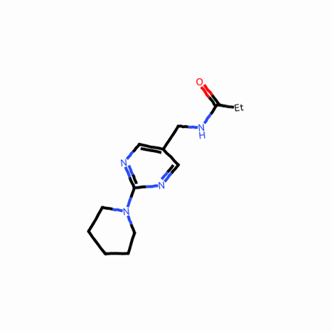 CCC(=O)NCc1cnc(N2CCCCC2)nc1